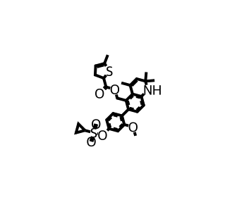 COc1cc(OS(=O)(=O)C2CC2)ccc1-c1ccc2c(c1COC(=O)C1CC=C(C)S1)C(C)=CC(C)(C)N2